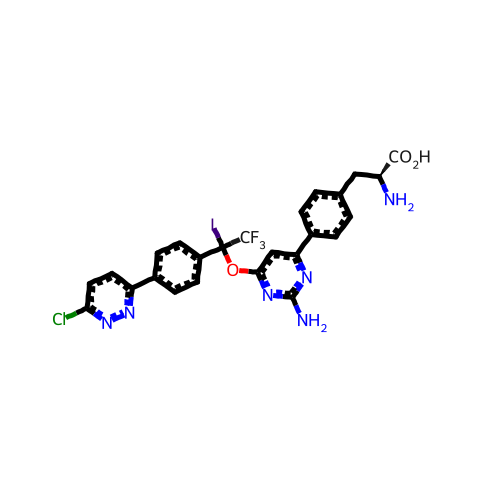 Nc1nc(OC(I)(c2ccc(-c3ccc(Cl)nn3)cc2)C(F)(F)F)cc(-c2ccc(C[C@H](N)C(=O)O)cc2)n1